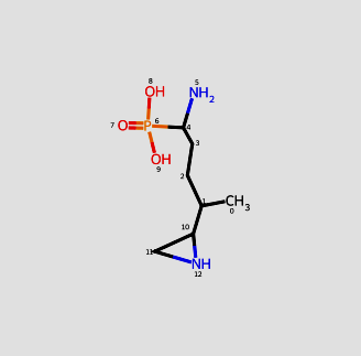 CC(CCC(N)P(=O)(O)O)C1CN1